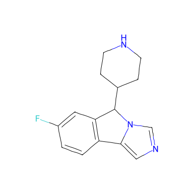 Fc1ccc2c(c1)C(C1CCNCC1)n1cncc1-2